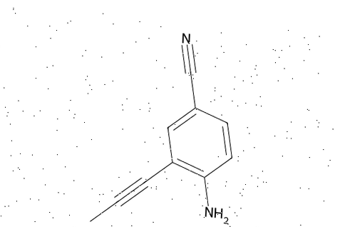 CC#Cc1cc(C#N)ccc1N